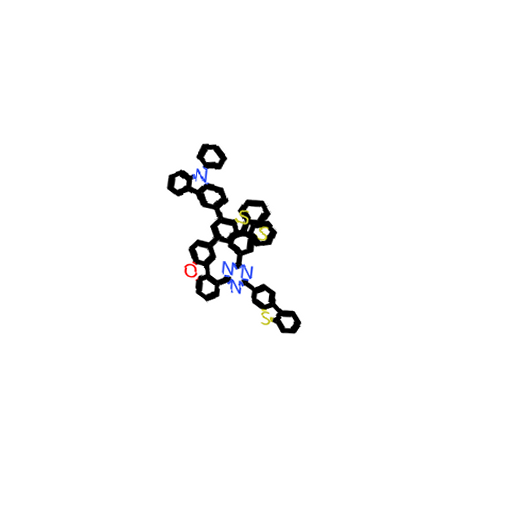 c1ccc(-n2c3ccccc3c3cc(-c4cc(-c5ccc6oc7cccc(-c8nc(-c9ccc%10c(c9)sc9ccccc9%10)nc(-c9ccc%10c(c9)sc9ccccc9%10)n8)c7c6c5)cc5c4sc4ccccc45)ccc32)cc1